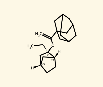 C=C(O[C@]1(CC)C[C@H]2CC[C@@H]1C2)C12CC3CC(CC(C3)C1)C2